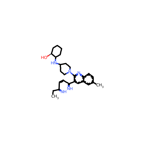 CCC(=N)/C=C\C(=N)c1cc2cc(C)ccc2nc1N1CCC(NC2CCCC[C@@H]2O)CC1